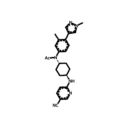 CC(=O)N(c1ccc(-c2cnn(C)c2)c(C)c1)[C@H]1CC[C@H](Nc2ccc(C#N)cn2)CC1